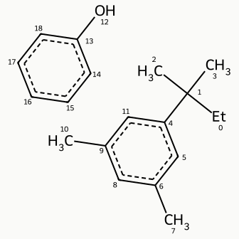 CCC(C)(C)c1cc(C)cc(C)c1.Oc1ccccc1